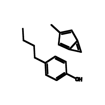 CCCCc1ccc(O)cc1.Cc1cc2cc-2c1